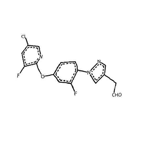 O=CCc1cnn(-c2ccc(Oc3ncc(Cl)cc3F)cc2F)c1